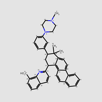 CN1CCN(c2cccc(C3CC(c4ccc5cccc(C(=O)O)c5n4)c4c(ccc5c4ccc4ccccc45)C3(C)C)c2)CC1